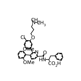 COc1cccc(OC)c1-c1ccc(C(=O)NC(Cc2ccccc2)C(=O)O)nc1-c1ccc(Cl)c(OCCCN(C)C)c1